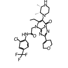 CCc1c(N2CCN[C@@H](C)[C@H]2C)c(=O)n2nc(C3=CCOCC3)nc2n1CC(=O)Nc1ccc(C(F)(F)F)cc1Cl